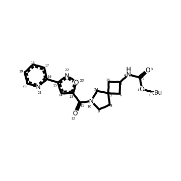 CC(C)(C)OC(=O)NC1CC2(CCN(C(=O)c3cc(-c4ccccn4)no3)C2)C1